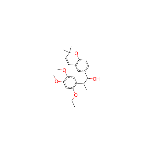 CCOc1cc(OC)c(OC)cc1C(C)C(O)c1ccc2c(c1)C=CC(C)(C)O2